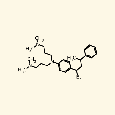 CCC(CC(C)c1ccccc1)c1ccc(N(CCCN(C)C)CCCN(C)C)cc1